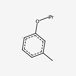 Cc1cc[c]c(OC(C)C)c1